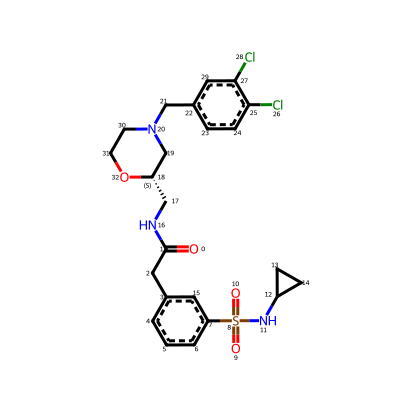 O=C(Cc1cccc(S(=O)(=O)NC2CC2)c1)NC[C@H]1CN(Cc2ccc(Cl)c(Cl)c2)CCO1